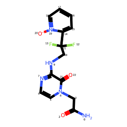 NC(=O)Cn1ccnc(NCC(F)(F)c2cccc[n+]2[O-])c1=O